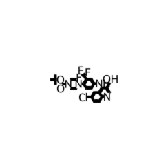 CC(C)(C)OC(=O)N1CCN(c2ccc(Nc3c(CO)cnc4ccc(Cl)cc34)cc2C(F)(F)F)CC1